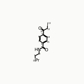 CC(C)CCNC(=O)c1ccc(C(=O)CI)cc1